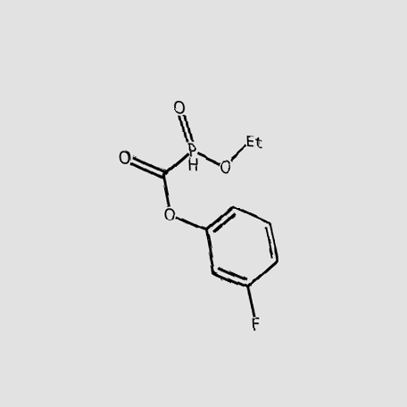 CCO[PH](=O)C(=O)Oc1cccc(F)c1